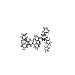 c1ccc(-c2cccc(-c3nc(-c4ccccc4)nc(-c4cccc5c4sc4cccc(-c6ccc7c(c6)c6ccccc6n7-c6ccccc6)c45)n3)c2)cc1